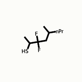 CCCC(C)CC(F)(F)C(C)S